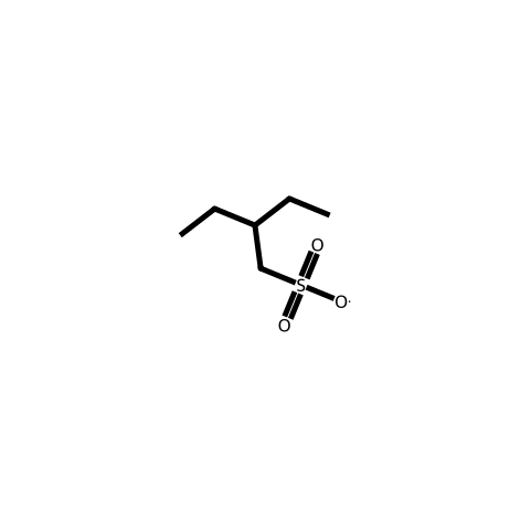 CCC(CC)CS([O])(=O)=O